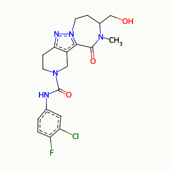 CN1C(=O)c2c3c(nn2CCC1CO)CCN(C(=O)Nc1ccc(F)c(Cl)c1)C3